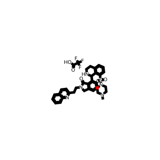 CN1CCN(S(=O)(=O)c2cccc3c2C(c2cccc4c2C(=O)N(CCc2ccc5ccccc5n2)C4)NCC3)CC1.O=C(O)C(F)(F)F